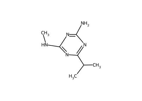 CNc1nc(N)nc(C(C)C)n1